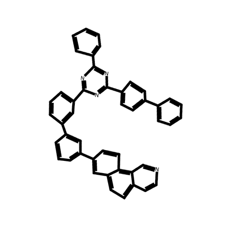 c1ccc(-c2ccc(-c3nc(-c4ccccc4)nc(-c4cccc(-c5cccc(-c6ccc7c(ccc8ccncc87)c6)c5)c4)n3)cc2)cc1